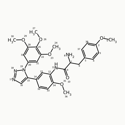 COc1ccc(CC(N)C(=O)Nc2cc(-c3cnnn3-c3cc(OC)c(OC)c(OC)c3)ccc2OC)cc1